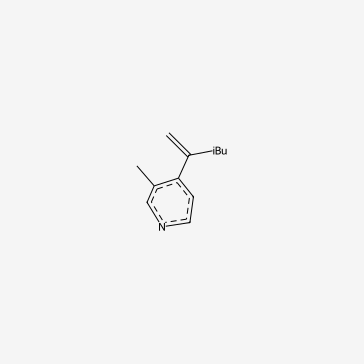 C=C(c1ccncc1C)C(C)CC